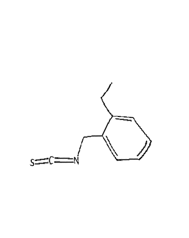 CCc1ccccc1CN=C=S